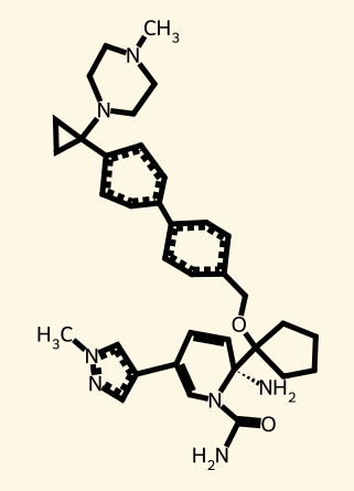 CN1CCN(C2(c3ccc(-c4ccc(COC5([C@]6(N)C=CC(c7cnn(C)c7)=CN6C(N)=O)CCCC5)cc4)cc3)CC2)CC1